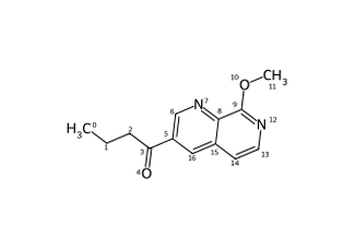 CCCC(=O)c1cnc2c(OC)nccc2c1